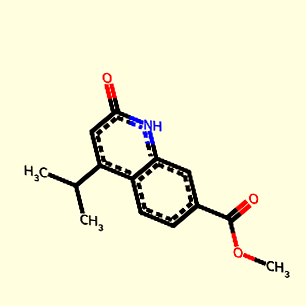 COC(=O)c1ccc2c(C(C)C)cc(=O)[nH]c2c1